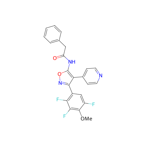 COc1c(F)cc(-c2noc(NC(=O)Cc3ccccc3)c2-c2ccncc2)c(F)c1F